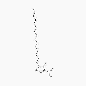 CCCCCCCCCCCCCCCc1[nH]cc(C(=O)O)[n+]1C